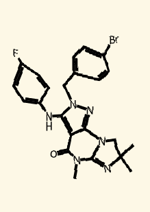 CN1C(=O)c2c(nn(Cc3ccc(Br)cc3)c2Nc2ccc(F)cc2)N2CC(C)(C)N=C12